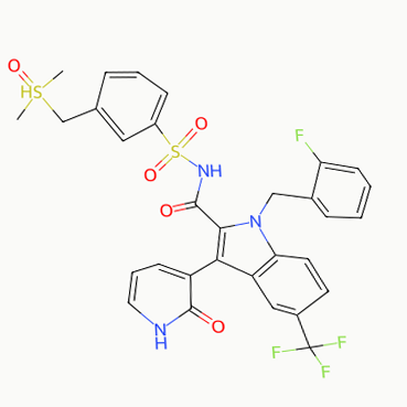 C[SH](C)(=O)Cc1cccc(S(=O)(=O)NC(=O)c2c(-c3ccc[nH]c3=O)c3cc(C(F)(F)F)ccc3n2Cc2ccccc2F)c1